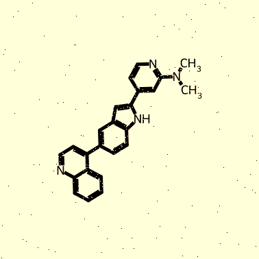 CN(C)c1cc(-c2cc3cc(-c4ccnc5ccccc45)ccc3[nH]2)ccn1